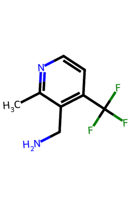 Cc1nccc(C(F)(F)F)c1CN